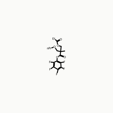 CCCOCC(C)(COC(=O)CC)C(=O)Oc1c(F)c(F)c(F)c(F)c1F